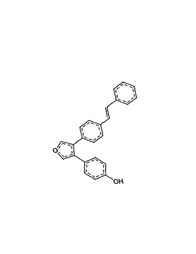 Oc1ccc(-c2cocc2-c2ccc(/C=C/c3ccccc3)cc2)cc1